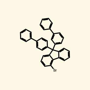 Brc1cccc2c1-c1ccccc1C2(c1ccc(-c2ccccc2)cc1)c1cccc(-c2ccccc2)c1